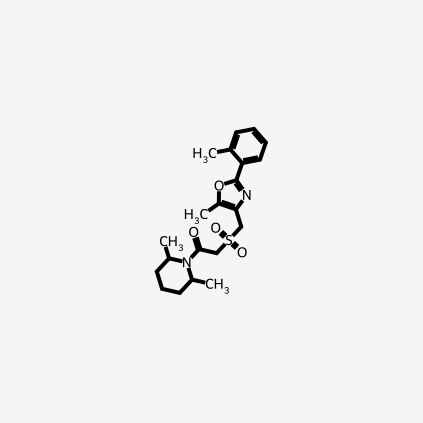 Cc1ccccc1-c1nc(CS(=O)(=O)CC(=O)N2C(C)CCCC2C)c(C)o1